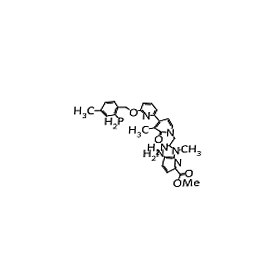 COC(=O)c1ccc(N)c(N(C)C(N)Cn2ccc(-c3cccc(OCc4ccc(C)cc4P)n3)c(C)c2=O)n1